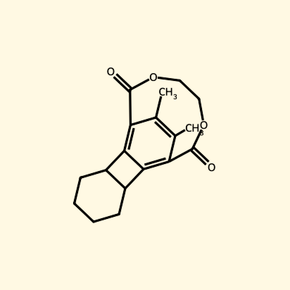 Cc1c(C)c2c3c(c1C(=O)OCCOC2=O)C1CCCCC31